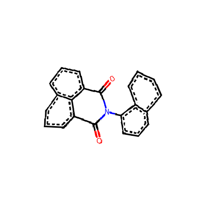 O=C1c2cccc3cccc(c23)C(=O)N1c1cccc2ccccc12